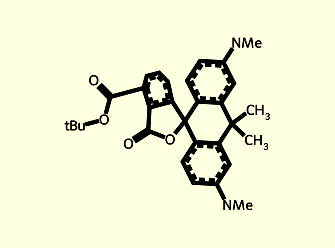 CNc1ccc2c(c1)C(C)(C)c1cc(NC)ccc1C21OC(=O)c2c(C(=O)OC(C)(C)C)cccc21